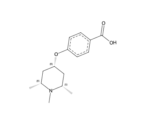 C[C@@H]1C[C@H](Oc2ccc(C(=O)O)cc2)C[C@H](C)N1C